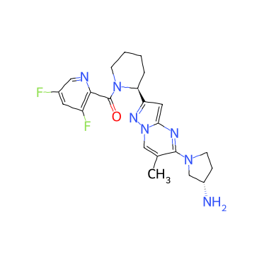 Cc1cn2nc([C@@H]3CCCCN3C(=O)c3ncc(F)cc3F)cc2nc1N1CC[C@H](N)C1